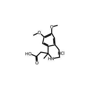 COc1cc2c(cc1OC)C(C)(CC(=O)O)NCC2.Cl